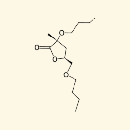 CCCCOC[C@@H]1C[C@@](C)(OCCCC)C(=O)O1